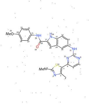 CNc1nc(C)c(-c2ccnc(Nc3ccc4[nH]c(C(=O)Nc5ccc(OC)cc5)cc4c3)n2)s1